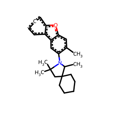 Cc1cc2oc3ccccc3c2cc1N1C(C)C2(CCCCC2)CC1(C)C